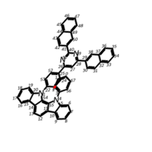 c1ccc(-n2c3ccccc3c3ccc4c5ccccc5n(-c5ccc(-c6cc(-c7ccc8ccccc8c7)nc(-c7ccc8ccccc8c7)n6)cc5)c4c32)cc1